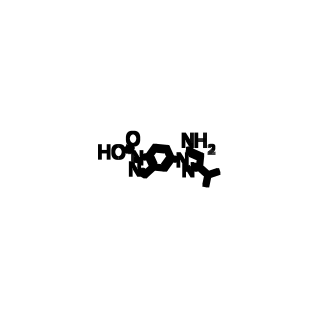 CC(C)c1cc(N)n(-c2ccc3c(cnn3C(=O)O)c2)n1